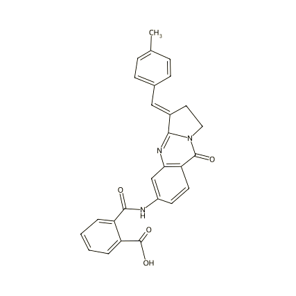 Cc1ccc(C=C2CCn3c2nc2cc(NC(=O)c4ccccc4C(=O)O)ccc2c3=O)cc1